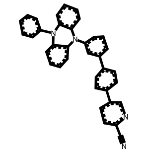 N#Cc1ccc(-c2ccc(-c3cccc(N4c5ccccc5N(c5ccccc5)c5ccccc54)c3)cc2)cn1